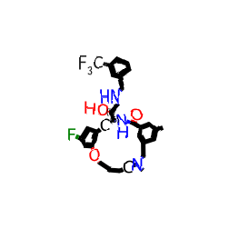 Cc1cc2cc(c1)C(=O)N[C@H]([C@H](O)CNCc1cccc(C(F)(F)F)c1)Cc1cc(F)cc(c1)OCCCCN(C)C2